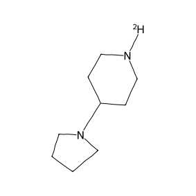 [2H]N1CCC(N2CCCC2)CC1